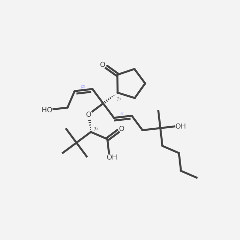 CCCCC(C)(O)C/C=C/C(/C=C\CO)(O[C@H](C(=O)O)C(C)(C)C)[C@H]1CCCC1=O